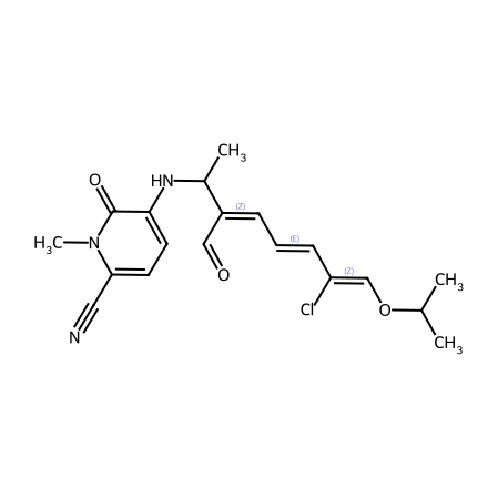 CC(C)O/C=C(Cl)/C=C/C=C(\C=O)C(C)Nc1ccc(C#N)n(C)c1=O